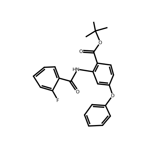 CC(C)(C)OC(=O)c1ccc(Oc2ccccc2)cc1NC(=O)c1ccccc1F